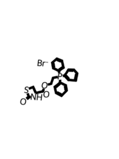 O=C1NC(C(=O)OCC[P+](c2ccccc2)(c2ccccc2)c2ccccc2)CS1.[Br-]